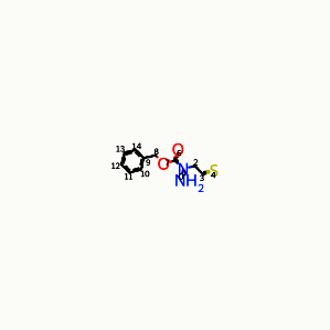 NN(CC=S)C(=O)OCc1ccccc1